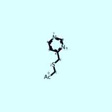 CC(=O)CSCc1ccncn1